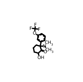 CN(C)C1(c2cccc(OC(F)(F)F)c2)CCCC(O)C1=O